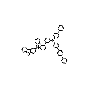 c1ccc(-c2ccc(-c3ccc(N(c4ccc(-c5ccccc5)cc4)c4cccc(-c5cccc6c5c5ccccc5n6-c5ccc6oc7ccccc7c6c5)c4)cc3)cc2)cc1